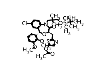 COc1cccc([C@H]2O[C@H](Cc3ncc(OC(C)=O)s3)C(=O)N(CC(C)(C)CO[Si](C)(C)C(C)(C)C)c3ccc(Cl)cc32)c1OC